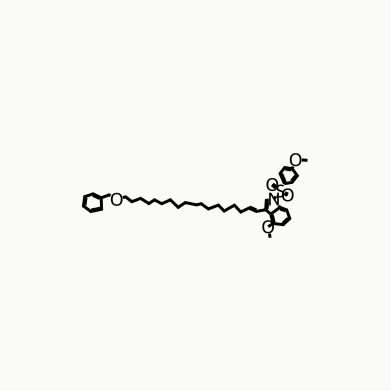 COc1ccc(S(=O)(=O)n2cc(C=CCCCCCCCCCCCCCCCCOCc3ccccc3)c3c(OC)cccc32)cc1